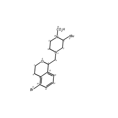 CC(C)(C)C1CN(CC2OCCc3c(Br)cccc32)CCN1C(=O)O